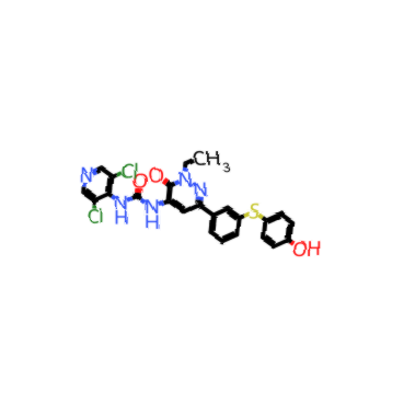 CCn1nc(-c2cccc(Sc3ccc(O)cc3)c2)cc(NC(=O)Nc2c(Cl)cncc2Cl)c1=O